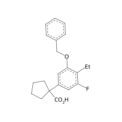 CCc1c(F)cc(C2(C(=O)O)CCCC2)cc1OCc1ccccc1